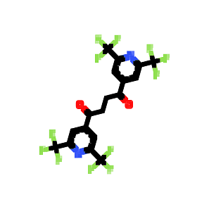 O=C(CCC(=O)c1cc(C(F)(F)F)nc(C(F)(F)F)c1)c1cc(C(F)(F)F)nc(C(F)(F)F)c1